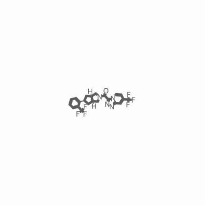 O=C(c1nnc2cc(C(F)(F)F)ccn12)N1C[C@H]2C[C@@H](c3ccccc3C(F)(F)F)C[C@H]2C1